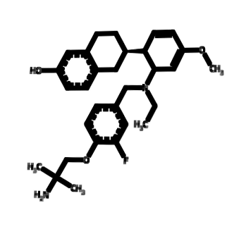 CCN(Cc1ccc(OCC(C)(C)N)c(F)c1)C1C=C(OC)C=CC1[C@@H]1CCc2cc(O)ccc2C1